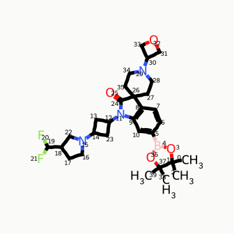 CC1(C)OB(c2ccc3c(c2)N(C2CC(N4CCC(C(F)F)C4)C2)C(=O)C32CCN(C3COC3)CC2)OC1(C)C